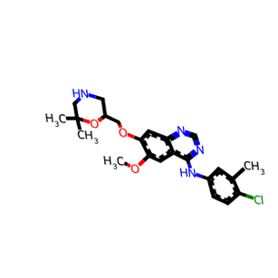 COc1cc2c(Nc3ccc(Cl)c(C)c3)ncnc2cc1OCC1CNCC(C)(C)O1